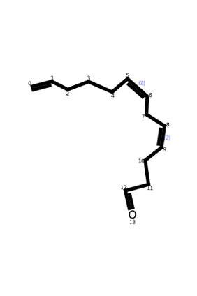 C=CCCC/C=C\C/C=C\CCC=O